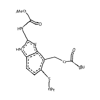 CCCSc1ccc2[nH]c(NC(=O)OC)nc2c1COC(=O)C(C)(C)C